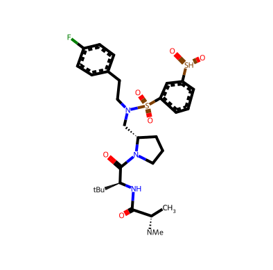 CN[C@@H](C)C(=O)N[C@H](C(=O)N1CCC[C@H]1CN(CCc1ccc(F)cc1)S(=O)(=O)c1cccc([SH](=O)=O)c1)C(C)(C)C